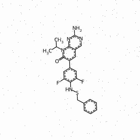 CC(C)n1c(=O)c(-c2cc(F)c(NSCc3ccccc3)c(F)c2)cc2cnc(N)nc21